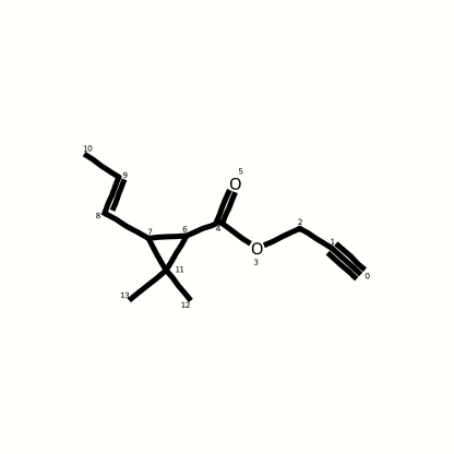 C#CCOC(=O)C1C(C=CC)C1(C)C